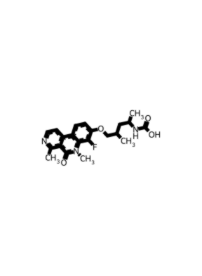 Cc1nccc2c1c(=O)n(C)c1c(F)c(OCC(C)CC(C)NC(=O)O)ccc21